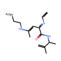 C=C/N=C(\C=C(/C)NCCNC(C)=O)C(=O)NC(C)C(=C)C